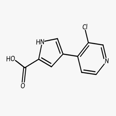 O=C(O)c1cc(-c2ccncc2Cl)c[nH]1